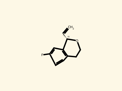 C=C[C@@H]1OCCc2ccc(F)cc21